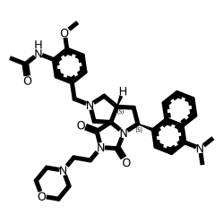 COc1ccc(CN2C[C@@H]3C[C@@H](c4ccc(N(C)C)c5ccccc45)N4C(=O)N(CCN5CCOCC5)C(=O)C34C2)cc1NC(C)=O